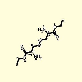 CCOC(=O)[C@H](N)CSSC[C@H](N)C(=O)OCC